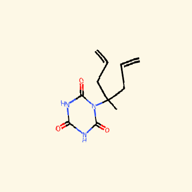 C=CCC(C)(CC=C)n1c(=O)[nH]c(=O)[nH]c1=O